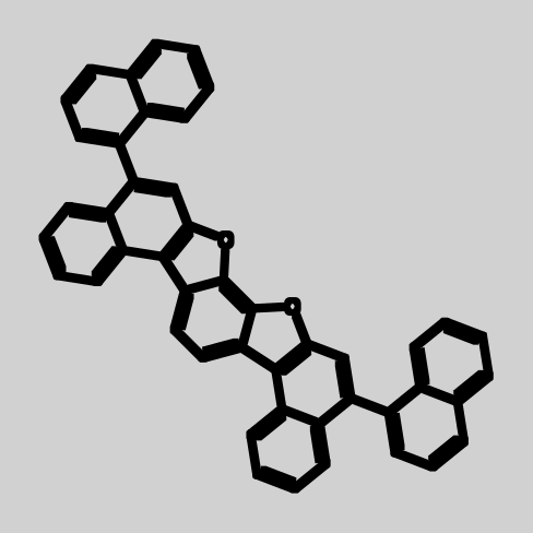 c1ccc2c(-c3cc4oc5c(ccc6c5oc5cc(-c7cccc8ccccc78)c7ccccc7c56)c4c4ccccc34)cccc2c1